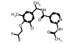 CC(=O)Nc1cc(C(=O)NC(C)c2cc(C)c(OCC(F)F)c(Cl)c2)ccn1